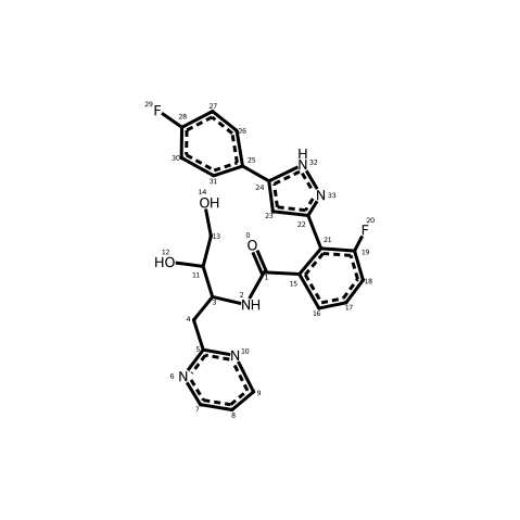 O=C(NC(Cc1ncccn1)C(O)CO)c1cccc(F)c1-c1cc(-c2ccc(F)cc2)[nH]n1